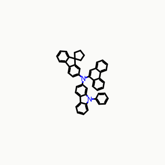 c1ccc(-n2c3ccccc3c3ccc(N(c4ccc5c(c4)C4(CCCC4)c4ccccc4-5)c4cc5ccccc5c5ccccc45)cc32)cc1